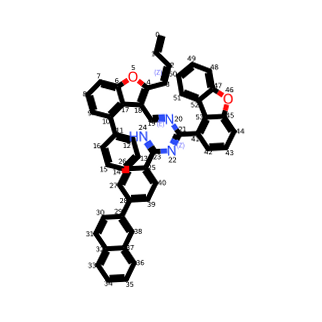 C=C/C=C\c1oc2cccc(-c3ccccc3)c2c1/C=N/C(=N\C(=N)c1ccc(-c2ccc3ccccc3c2)cc1)c1cccc2oc3ccccc3c12